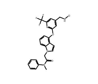 CN(C(=O)Cn1ccc2c(Oc3cc(CNCl)cc(C(F)(F)F)n3)cccc21)c1ccccc1